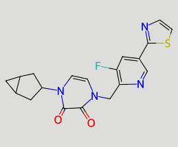 O=c1c(=O)n(C2CC3CC3C2)ccn1Cc1ncc(-c2nccs2)cc1F